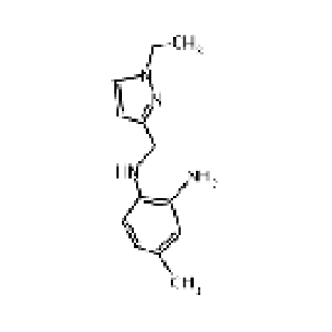 CCn1ccc(CNc2ccc(C)cc2N)n1